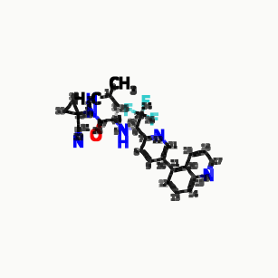 CC(C)C[C@H](N[C@@H](c1ccc(-c2cccc3ncccc23)cn1)C(F)(F)F)C(=O)NC1(C#N)CC1